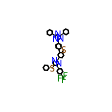 FC(F)(F)c1ccc(-c2nc(-c3ccc4sc5cc(-c6nc(-c7ccccc7)nc(-c7ccccc7)n6)ccc5c4c3)ncc2Sc2ccccc2)cc1